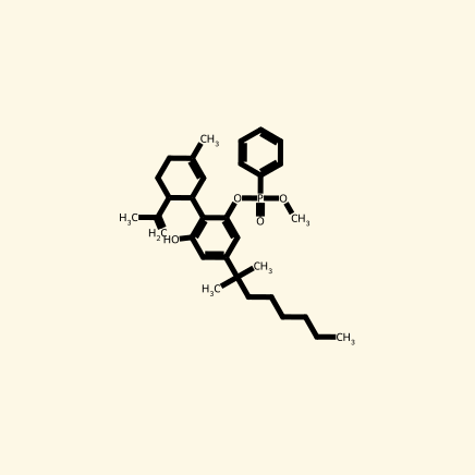 C=C(C)C1CCC(C)=CC1c1c(O)cc(C(C)(C)CCCCCC)cc1OP(=O)(OC)c1ccccc1